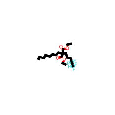 C=CCCCCCCC(CCCC(F)(F)C(F)(F)F)(C(=O)OCC)C(=O)OCC